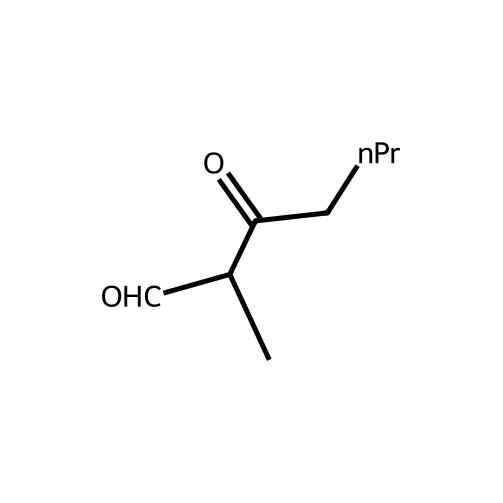 CCCCC(=O)C(C)C=O